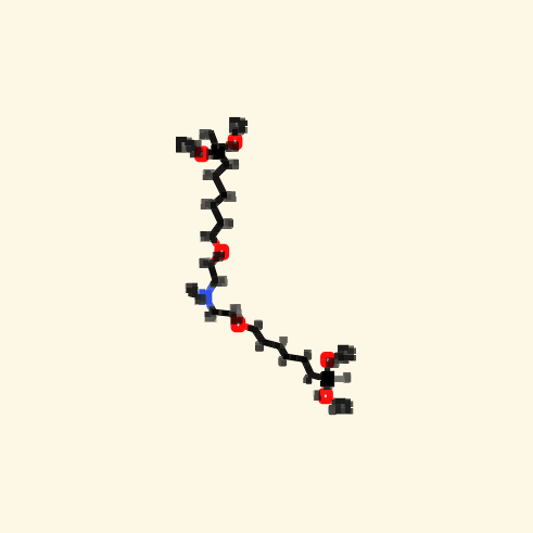 CCO[Si](C)(CCCCCCOCCN(C)CCOCCCCCC[Si](C)(OCC)OCC)OCC